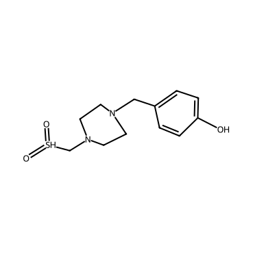 O=[SH](=O)CN1CCN(Cc2ccc(O)cc2)CC1